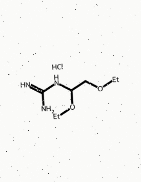 CCOCC(NC(=N)N)OCC.Cl